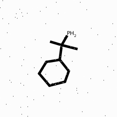 CC(C)(P)C1CCCCC1